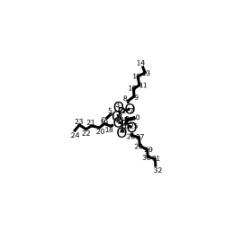 C=C(P(=O)(OCC)OCCCCCCC)P(=O)(OCCCCCCC)OCCCCCCC